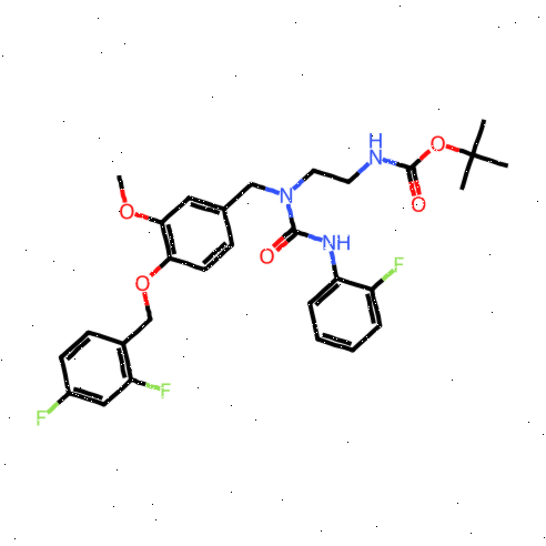 COc1cc(CN(CCNC(=O)OC(C)(C)C)C(=O)Nc2ccccc2F)ccc1OCc1ccc(F)cc1F